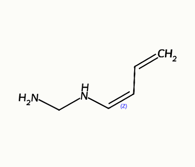 C=C/C=C\NCN